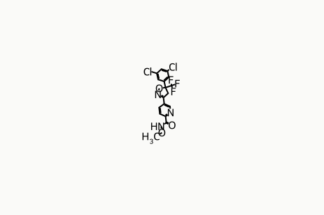 CONC(=O)c1ccc(C2=NOC(c3cc(Cl)cc(Cl)c3)(C(F)(F)F)C2)cn1